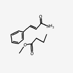 CCCC(=O)OC.NC(=O)/C=C/c1ccccc1